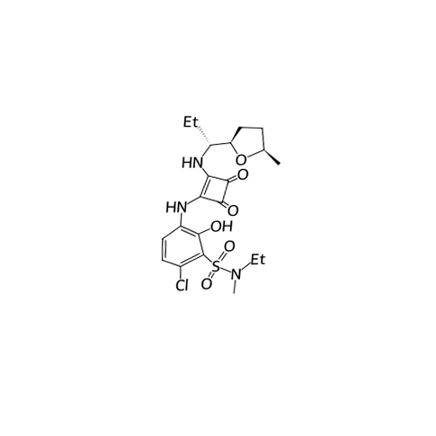 CC[C@@H](Nc1c(Nc2ccc(Cl)c(S(=O)(=O)N(C)CC)c2O)c(=O)c1=O)[C@H]1CC[C@@H](C)O1